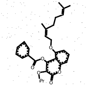 CC(C)=CCCC(C)=CCOc1cccc2oc(=O)c(OC(C)C)c(OC(=O)c3ccccc3)c12